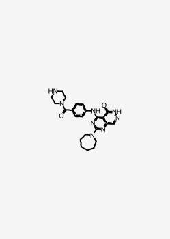 O=C(c1ccc(Nc2nc(N3CCCCCC3)nc3cn[nH]c(=O)c23)cc1)N1CCNCC1